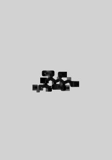 CC(=S)NC(C=O)C(O)C(O)C(O)CO